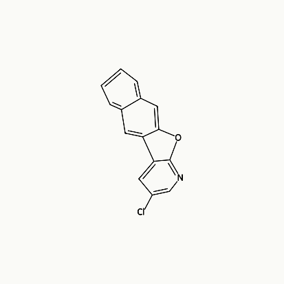 Clc1cnc2oc3cc4ccccc4cc3c2c1